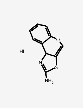 I.NC1=NC2C(=COc3ccccc32)S1